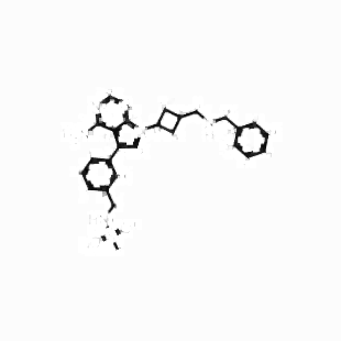 CS(=O)(=O)NCc1cccc(-c2cn(C3CC(CNCc4ccccc4)C3)c3ncnc(N)c23)c1